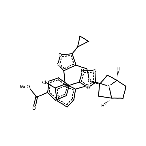 COC(=O)c1ccc(-c2nnc(N3[C@@H]4CC[C@H]3C[C@@H](OCc3c(-c5c(Cl)cccc5Cl)noc3C3CC3)C4)o2)cc1